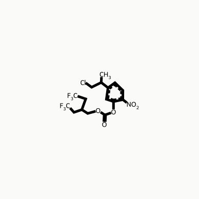 CC(CCl)c1ccc([N+](=O)[O-])c(OC(=O)OCC(CC(F)(F)F)CC(F)(F)F)c1